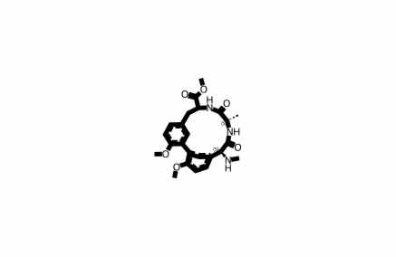 CN[C@@H]1C(=O)N[C@@H](C)C(=O)NC(C(=O)OC)Cc2ccc(OC)c(c2)-c2cc1ccc2OC